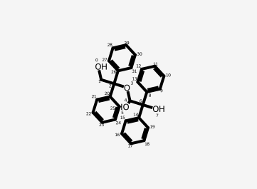 OCC(OC(O)C(O)(c1ccccc1)c1ccccc1)(c1ccccc1)c1ccccc1